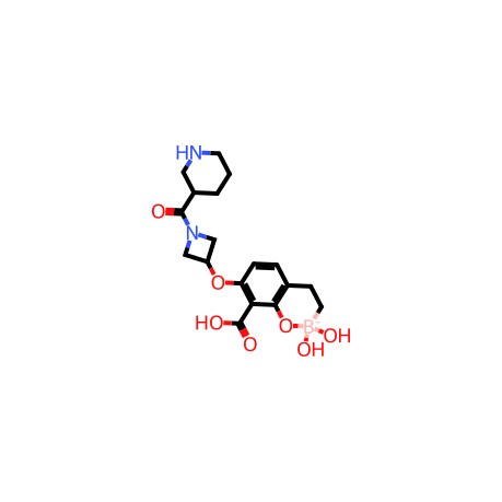 O=C(O)c1c(OC2CN(C(=O)C3CCCNC3)C2)ccc2c1O[B-](O)(O)CC2